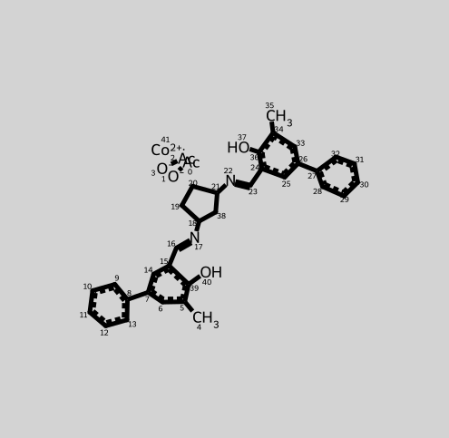 CC(=O)[O-].CC(=O)[O-].Cc1cc(-c2ccccc2)cc(C=NC2CCC(N=Cc3cc(-c4ccccc4)cc(C)c3O)C2)c1O.[Co+2]